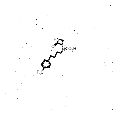 O=C1NC[C@@H]1N(CCCCc1ccc(C(F)(F)F)cc1)C(=O)O